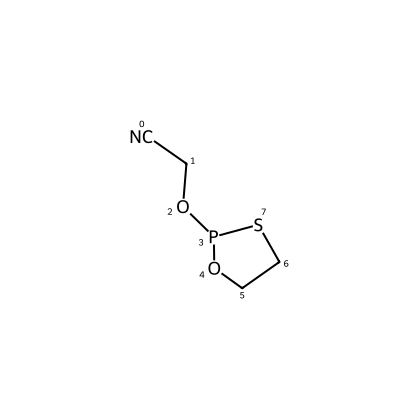 N#CCOP1OCCS1